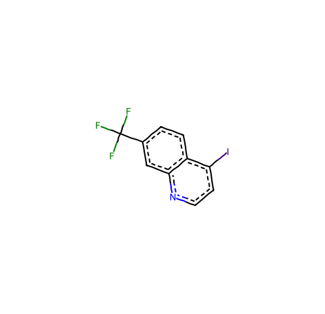 FC(F)(F)c1ccc2c(I)ccnc2c1